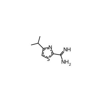 CC(C)c1csc(C(=N)N)n1